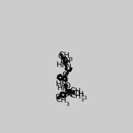 COc1ccc(-n2nc(C(C)(C)C)cc2NC(=O)Nc2ccc(OCc3ccnc(Nc4cncc(OC)n4)c3)c3ccccc23)cc1